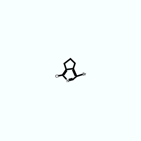 Clc1ncc(Br)c2c1CCC2